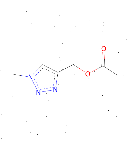 CC(=O)OCc1cn(C)nn1